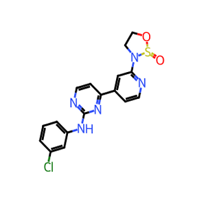 O=S1OCCN1c1cc(-c2ccnc(Nc3cccc(Cl)c3)n2)ccn1